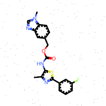 Cc1nc(-c2cccc(F)c2)sc1NC(=O)OCc1ccc2c(c1)ncn2C